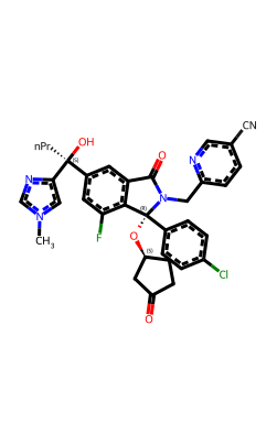 CCC[C@](O)(c1cc(F)c2c(c1)C(=O)N(Cc1ccc(C#N)cn1)[C@@]2(O[C@H]1CCC(=O)C1)c1ccc(Cl)cc1)c1cn(C)cn1